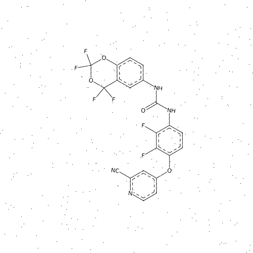 N#Cc1cc(Oc2ccc(NC(=O)Nc3ccc4c(c3)C(F)(F)OC(F)(F)O4)c(F)c2F)ccn1